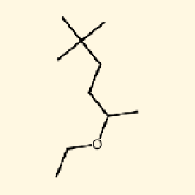 CCOC(C)CCC(C)(C)C